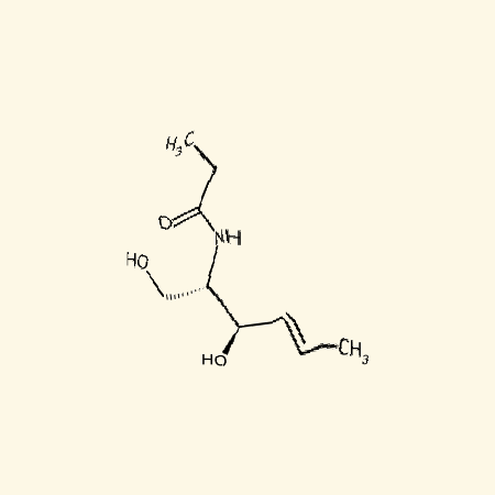 C/C=C/[C@@H](O)[C@H](CO)NC(=O)CC